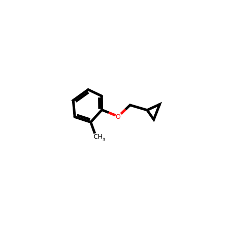 Cc1c[c]ccc1OCC1CC1